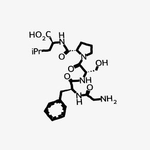 CC(C)C[C@H](NC(=O)[C@@H]1CCCN1C(=O)[C@H](CO)NC(=O)[C@H](Cc1ccccc1)NC(=O)CN)C(=O)O